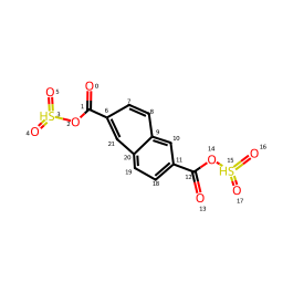 O=C(O[SH](=O)=O)c1ccc2cc(C(=O)O[SH](=O)=O)ccc2c1